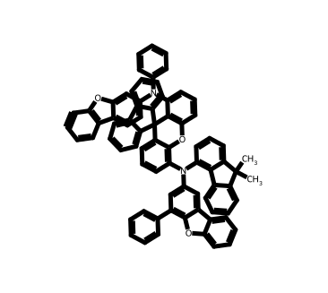 CC1(C)c2ccccc2-c2c(N(c3cc(-c4ccccc4)c4oc5ccccc5c4c3)c3cccc4c3Oc3cccc(N(c5ccccc5)c5ccc6c(c5)oc5c#cccc56)c3C43c4ccccc4-c4ccccc43)cccc21